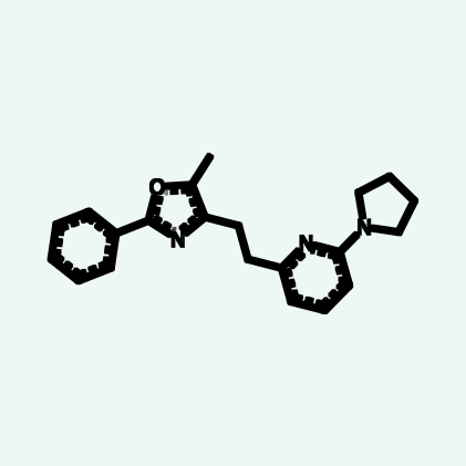 Cc1oc(-c2ccccc2)nc1CCc1cccc(N2CCCC2)n1